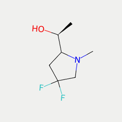 C[C@H](O)C1CC(F)(F)CN1C